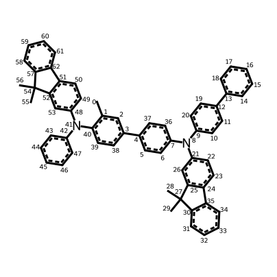 Cc1cc(-c2ccc(N(c3ccc(-c4ccccc4)cc3)c3ccc4c(c3)C(C)(C)c3ccccc3-4)cc2)ccc1N(c1ccccc1)c1ccc2c(c1)C(C)(C)c1ccccc1-2